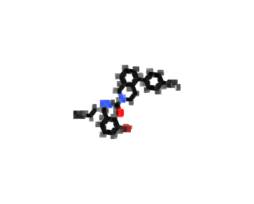 N#CCC[C@H](NC(=O)N1CCc2c(cccc2-c2ccc(C(F)(F)F)cc2)C1)c1cccc(Br)c1